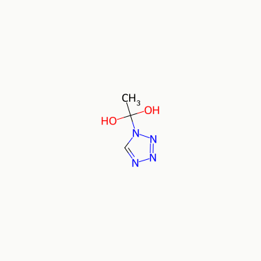 CC(O)(O)n1cnnn1